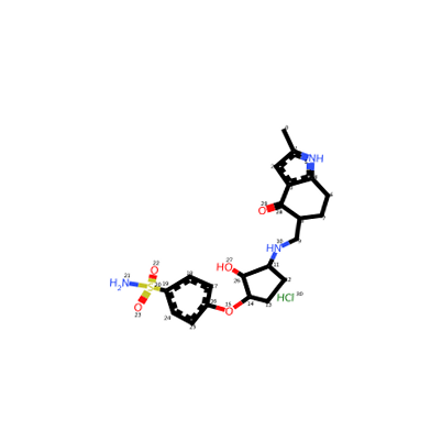 Cc1cc2c([nH]1)CCC(CNC1CCC(Oc3ccc(S(N)(=O)=O)cc3)C1O)C2=O.Cl